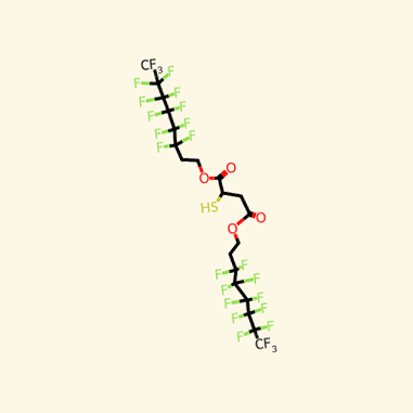 O=C(CC(S)C(=O)OCCC(F)(F)C(F)(F)C(F)(F)C(F)(F)C(F)(F)C(F)(F)F)OCCC(F)(F)C(F)(F)C(F)(F)C(F)(F)C(F)(F)C(F)(F)F